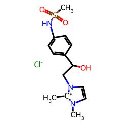 C[c+]1n(C)ccn1CC(O)c1ccc(NS(C)(=O)=O)cc1.[Cl-]